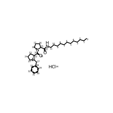 CCCCCCCCCCCCNC(=O)C1CCCN1C(=O)C1CCCN1Cc1ccccc1.Cl